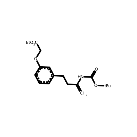 C=C(CCc1cccc(OCC(=O)OCC)c1)NC(=O)OC(C)(C)C